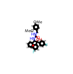 COc1ccc(CNC(=O)NC(c2ccccc2)C(O)(c2ccc(F)cc2)c2ccc(F)cc2)c(OC)c1